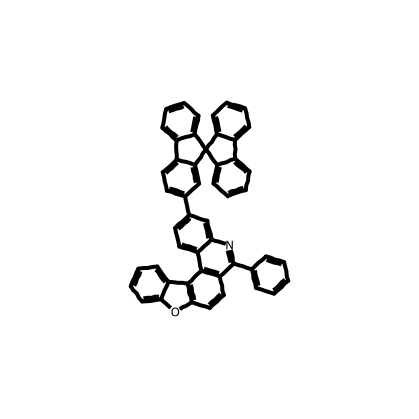 c1ccc(-c2nc3cc(-c4ccc5c(c4)C4(c6ccccc6-c6ccccc64)c4ccccc4-5)ccc3c3c2ccc2oc4ccccc4c23)cc1